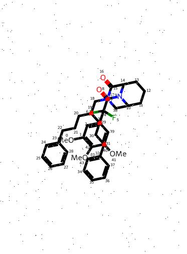 COc1cc(C(F)(F)C(=O)N2C3CCCC2C(=O)N(CC(CCCc2ccccc2)CCCc2ccccc2)C3)cc(OC)c1OC